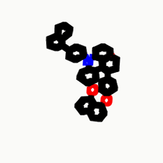 c1ccc(N(c2ccc(-c3cccc4ccccc34)cc2)c2ccccc2-c2ccccc2-c2ccc3c(c2)Oc2cccc4cccc(c24)O3)cc1